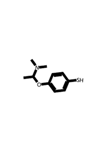 CC(Oc1ccc(S)cc1)N(C)C